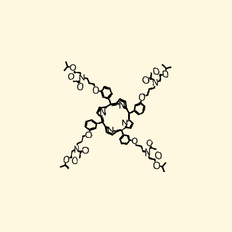 CC(=O)N(CCCOc1cccc(C2=C3C=CC(=N3)C(c3cccc(OCCCN(CC(=O)OC(C)C)C(C)=O)c3)=C3C=CC(=N3)C(c3cccc(OCCCN(CC(=O)OC(C)C)C(C)=O)c3)=C3C=CC(=N3)C(c3cccc(OCCCN(CC(=O)OC(C)C)C(C)=O)c3)=C3C=CC2=N3)c1)CC(=O)OC(C)C